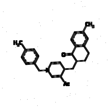 CC(=O)C1=CN(Cc2ccc(C)cc2)C=CC1CC1CCc2cc(C)ccc2C1=O